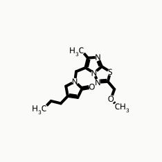 CCCC1=CC(=O)N(Cc2c(C)nc3sc(COC)nn23)C1